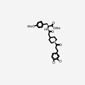 COC(=O)[C@H](Cc1ccc(OC)cc1)NC(=O)CC1CCN(C(=O)CCc2ccc(Cl)c(Cl)c2)CC1